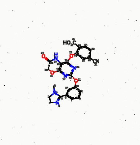 CN1CCN=C1c1cccc(Oc2nc3c(c(Oc4cc(C#N)ccc4C(=O)O)n2)NC(=O)CO3)c1